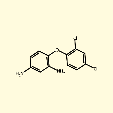 Nc1ccc(Oc2ccc(Cl)cc2Cl)c(N)c1